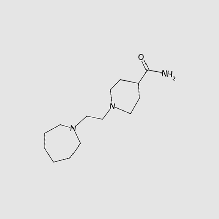 NC(=O)C1CCN(CCN2CCCCCC2)CC1